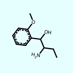 CCC(N)C(O)c1ccccc1OC